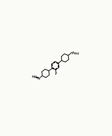 CCCCCC1CCC(c2ccc(C3CCC(N=N)CC3)c(F)c2)CC1